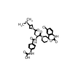 CN(C)C1CN(C(=O)C[C@H](NC(=O)c2ccc(NC(=O)O)cc2)C(=O)N2CCC[C@@]3(C2)OC(=O)Nc2ccc(Cl)cc23)C1